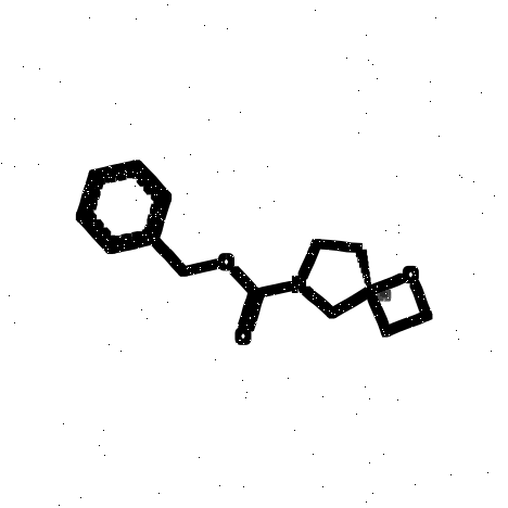 O=C(OCc1ccccc1)N1CC[C@]2(CCO2)C1